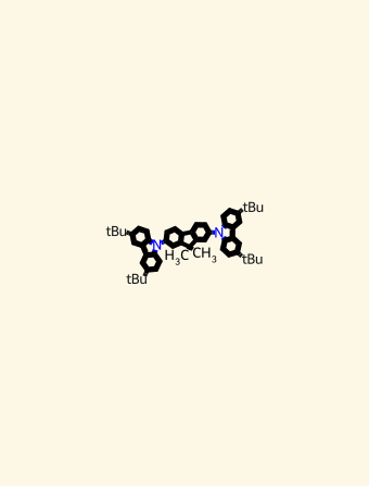 CC(C)(C)c1ccc2c(c1)c1cc(C(C)(C)C)ccc1n2-c1ccc2c(c1)C(C)(C)c1cc(-n3c4ccc(C(C)(C)C)cc4c4cc(C(C)(C)C)ccc43)ccc1-2